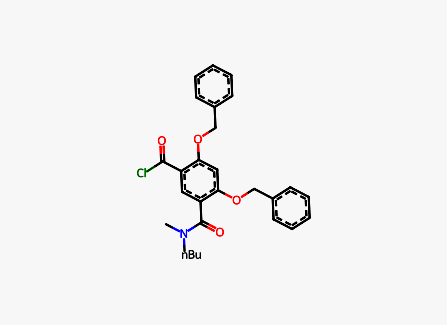 CCCCN(C)C(=O)c1cc(C(=O)Cl)c(OCc2ccccc2)cc1OCc1ccccc1